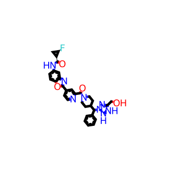 O=C(Nc1ccc2oc(-c3ccnc(C(=O)N4CCC(C(c5ccccc5)N5N=C(CO)NN5)CC4)c3)nc2c1)[C@@H]1C[C@@H]1F